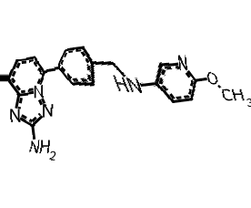 COc1ccc(NCc2ccc(-c3cccc4nc(N)nn34)cc2)cn1